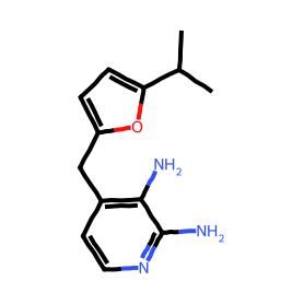 CC(C)c1ccc(Cc2ccnc(N)c2N)o1